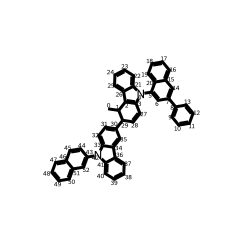 CC1c2c(n(-c3cc(-c4ccccc4)cc4ccccc34)c3ccccc23)C=CC1c1ccc2c(c1)c1ccccc1n2-c1ccc2ccccc2c1